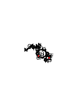 CO[C@@H](C)c1ncccc1-c1c2c3cc(ccc3n1CC(F)(F)F)-c1csc(n1)C[C@H](NC(=O)[C@H](N(C)C)N(C)C(=O)N1CCN(C(=O)/C=C/CN(C)C)C3(CC3)C1)C(=O)N1CCC[C@@](O)(N1)C(=O)OCC(C)(C)C2